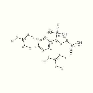 CCN(CC)CC.CCN(CC)CC.O=C(O)CCC(c1ccccc1)P(=O)(O)O